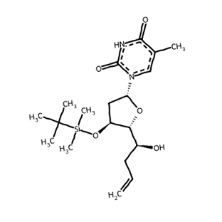 C=CC[C@H](O)[C@H]1O[C@@H](n2cc(C)c(=O)[nH]c2=O)C[C@@H]1O[Si](C)(C)C(C)(C)C